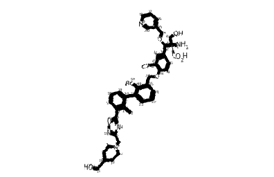 Cc1c(-c2nc(CN3CCC(CO)CC3)no2)cccc1-c1cccc(COc2ccc(C(OCc3cccnc3)[C@](N)(CO)C(=O)O)cc2Cl)c1Br